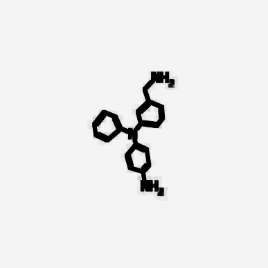 NCc1cccc(N(c2ccccc2)c2ccc(N)cc2)c1